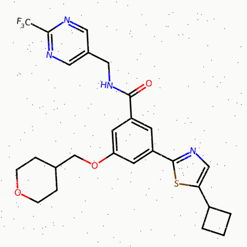 O=C(NCc1cnc(C(F)(F)F)nc1)c1cc(OCC2CCOCC2)cc(-c2ncc(C3CCC3)s2)c1